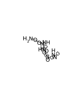 N=C(NCOCCOCCN)c1cccc(NC(=O)OC2CCN(C(=O)c3ccc4nc(-c5ccccc5)[nH]c4c3)CC2)c1